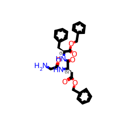 NCC(=O)N[C@@H](CC(=O)OCc1ccccc1)C(=O)N[C@@H](Cc1ccccc1)C(=O)OCc1ccccc1